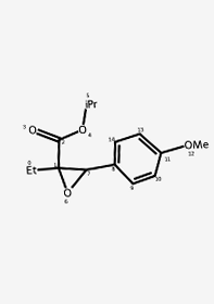 CCC1(C(=O)OC(C)C)OC1c1ccc(OC)cc1